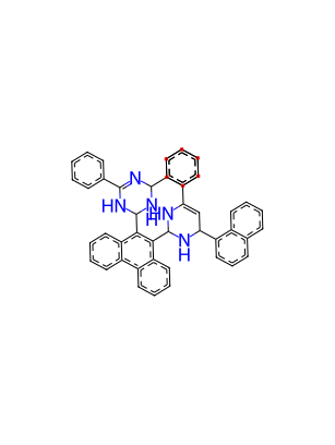 C1=C(c2ccccc2)NC(c2c(C3NC(c4ccccc4)=NC(c4ccccc4)N3)c3ccccc3c3ccccc23)NC1c1cccc2ccccc12